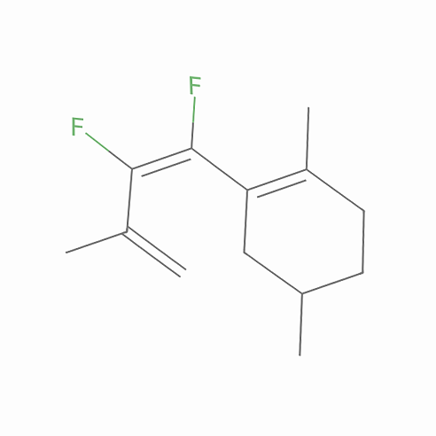 C=C(C)/C(F)=C(/F)C1=C(C)CCC(C)C1